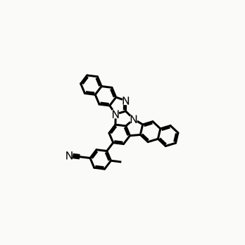 Cc1ccc(C#N)cc1-c1cc2c3cc4ccccc4cc3n3c2c(c1)n1c2cc4ccccc4cc2nc13